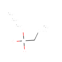 O=C([O-])C[Si]([O-])([O-])[O-].[Na+].[Na+].[Na+].[Na+]